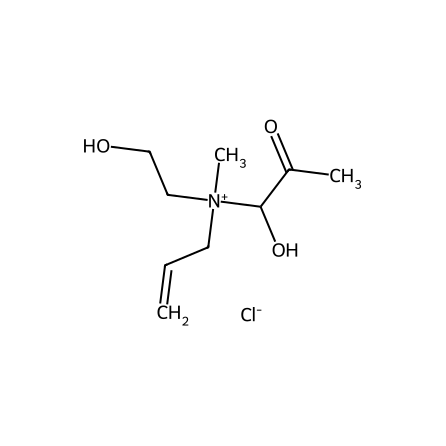 C=CC[N+](C)(CCO)C(O)C(C)=O.[Cl-]